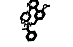 COc1ccc(CN[C@H](C)c2ccccc2)cc1-c1cccnc1N1CCOCC1